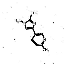 Cc1ccc(-c2cn(C)c(C=O)n2)cn1